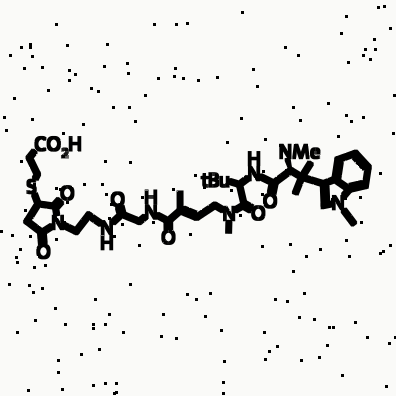 CN[C@H](C(=O)NC(C(=O)N(C)C/C=C(\C)C(=O)NCC(=O)NCCN1C(=O)CC(SCCC(=O)O)C1=O)C(C)(C)C)C(C)(C)c1cn(C)c2ccccc12